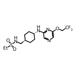 CCS(=O)(=O)NC[C@H]1CC[C@H](Nc2cncc(OCC(F)(F)F)n2)CC1